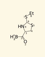 BC(=O)C1CSC(SCC)N1